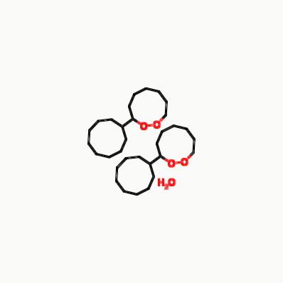 C1CCCCC(C2CCCCCCOO2)CCC1.C1CCCCC(C2CCCCCCOO2)CCC1.O